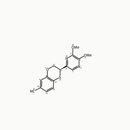 COc1ncc([C@@H]2COc3cc(C#N)ccc3S2)nc1OC